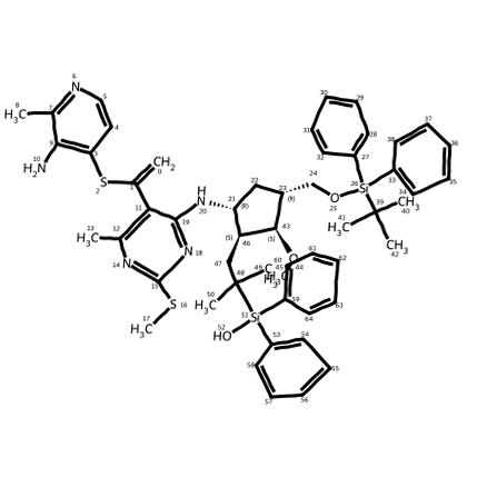 C=C(Sc1ccnc(C)c1N)c1c(C)nc(SC)nc1N[C@@H]1C[C@H](CO[Si](c2ccccc2)(c2ccccc2)C(C)(C)C)[C@@H](OC)[C@H]1CC(C)(C)[Si](O)(c1ccccc1)c1ccccc1